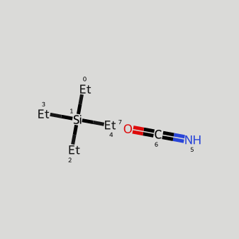 CC[Si](CC)(CC)CC.N=C=O